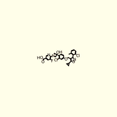 Cc1cccc(Cl)c1-c1noc(C2CC2)c1COc1ccc(C2(O)CN(c3ncc(C(=O)O)cc3F)C2)c(Cl)c1